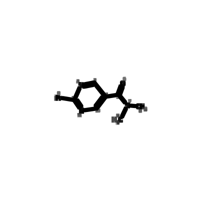 CC(C)c1ncc(C(=O)N(C)C)cn1